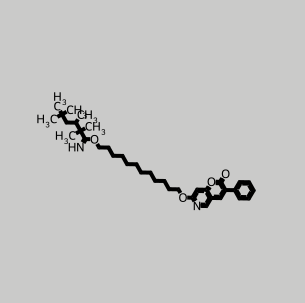 CC(CC(C)(C)C)C(C)(C)C(=N)OCCCCCCCCCCCCOc1cc2oc(=O)c(-c3ccccc3)cc2cn1